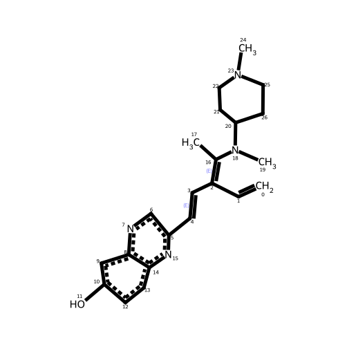 C=CC(/C=C/c1cnc2cc(O)ccc2n1)=C(/C)N(C)C1CCN(C)CC1